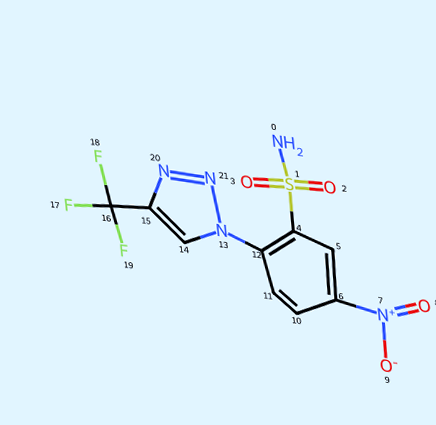 NS(=O)(=O)c1cc([N+](=O)[O-])ccc1-n1cc(C(F)(F)F)nn1